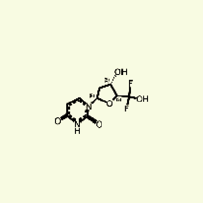 O=c1ccn([C@H]2C[C@H](O)[C@@H](C(O)(F)F)O2)c(=O)[nH]1